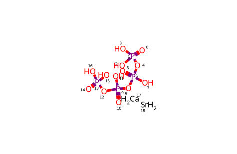 O=P(O)(O)OP(=O)(O)OP(=O)(O)OP(=O)(O)O.[CaH2].[SrH2]